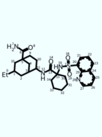 CCC1CC2CC(C(N)=O)(CCC2NC(=O)C2(NS(=O)(=O)c3cccc4cccnc34)CCCCC2)C1